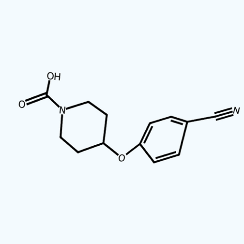 N#Cc1ccc(OC2CCN(C(=O)O)CC2)cc1